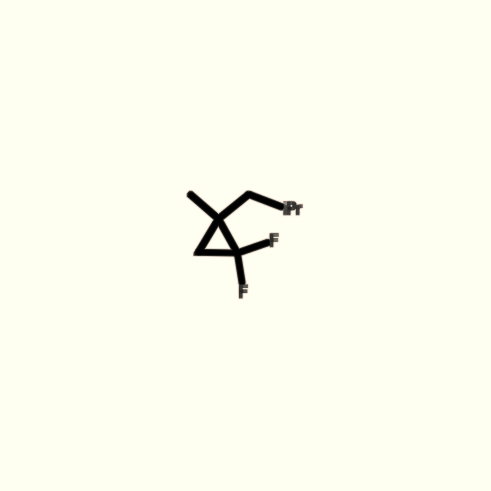 CC(C)CC1(C)CC1(F)F